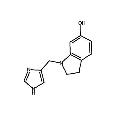 Oc1ccc2c(c1)N(Cc1c[nH]cn1)CC2